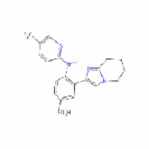 CN(c1ccc(C(F)(F)F)cn1)c1ccc(S(=O)(=O)O)cc1-c1cn2c(n1)CCCC2